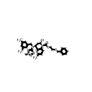 CC[C@@H]1C[C@H](N(Cc2cc(C(F)(F)F)cc(C(F)(F)F)c2)c2nnn(C)n2)c2nc(C(F)(F)F)ccc2N1C(=O)OCCOCc1ccccc1